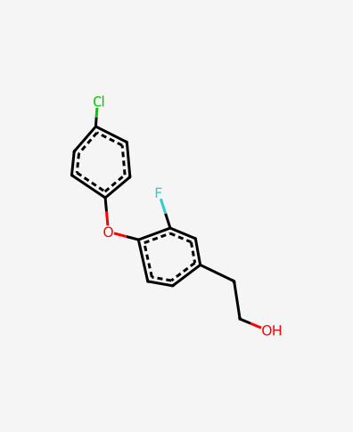 OCCc1ccc(Oc2ccc(Cl)cc2)c(F)c1